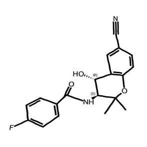 CC1(C)Oc2ccc(C#N)cc2[C@@H](O)[C@@H]1NC(=O)c1ccc(F)cc1